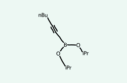 CCCCC#CB(OC(C)C)OC(C)C